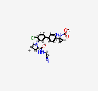 COC(=O)NC1(c2ccc(-c3ccc(Cl)c(N4C[C@@H](C)C[C@H]4C(=O)NCC#N)c3)cc2)CC1